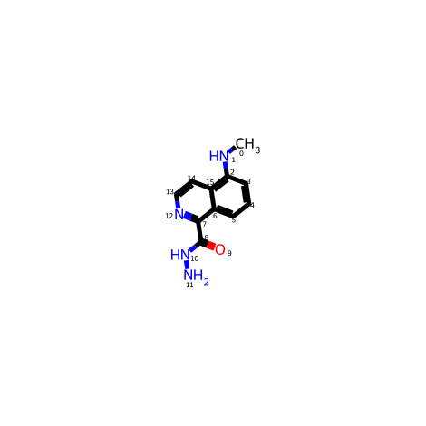 CNc1cccc2c(C(=O)NN)nccc12